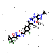 COc1nn(C2CC2)cc1Nc1ncc(-c2ccc(CC(=O)Nc3cc(C4(C(F)(F)F)CC4)on3)c(F)c2)c(C)n1